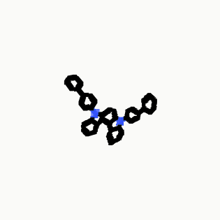 C1=CC2c3c(ccc4c3c3ccccc3n4-c3ccc(-c4ccccc4)cc3)N(c3ccc(-c4ccccc4)cc3)C2C=C1